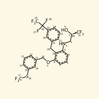 O[C@H](CNc1cccc(OCc2cccc(SC(F)(F)F)c2)c1Cc1cccc(C(F)(F)C(F)(F)F)c1)C(F)(F)F